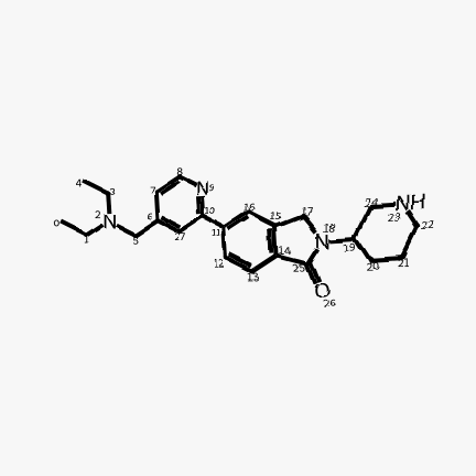 CCN(CC)Cc1ccnc(-c2ccc3c(c2)CN(C2CCCNC2)C3=O)c1